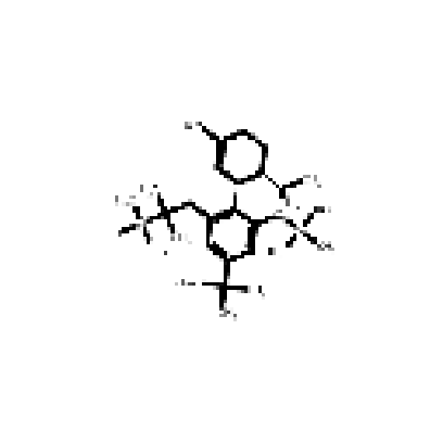 C=C(C)[C@H]1CCC(CCC)=C[C@@H]1c1c(CC(C)(C)[Si](C)(C)O)cc(C(C)(C)CCCCCC)cc1O[Si](C)(C)C(C)(C)C